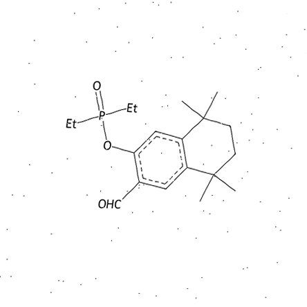 CCP(=O)(CC)Oc1cc2c(cc1C=O)C(C)(C)CCC2(C)C